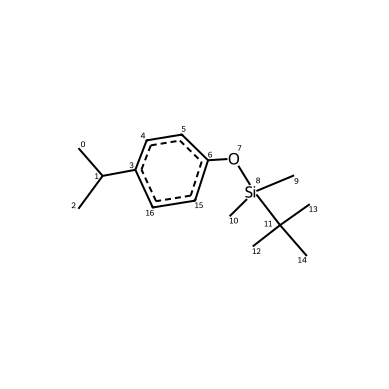 CC(C)c1ccc(O[Si](C)(C)C(C)(C)C)cc1